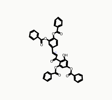 O=C(Oc1cc(O)c(C(=O)/C=C/c2ccc(OC(=O)c3ccccc3)c(OC(=O)c3ccccc3)c2)c(OC(=O)c2ccccc2)c1)c1ccccc1